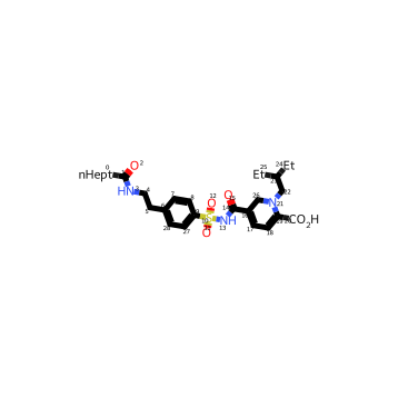 CCCCCCCC(=O)NCCc1ccc(S(=O)(=O)NC(=O)C2=CC=C(C(=O)O)N(CC(CC)CC)C2)cc1